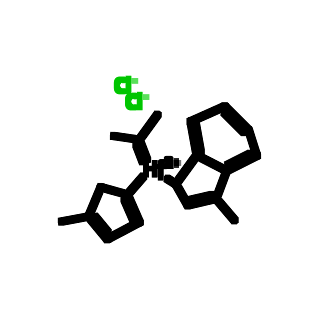 CC1=CC=[C]([Hf+2](=[C](C)C)[CH]2C=C(C)c3ccccc32)C1.[Cl-].[Cl-]